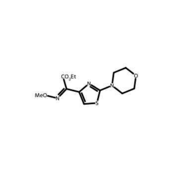 CCOC(=O)C(=NOC)c1csc(N2CCOCC2)n1